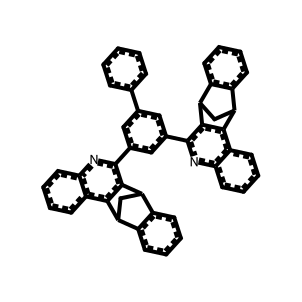 c1ccc(-c2cc(-c3nc4ccccc4c4c3C3CC4c4ccccc43)cc(-c3nc4ccccc4c4c3C3CC4c4ccccc43)c2)cc1